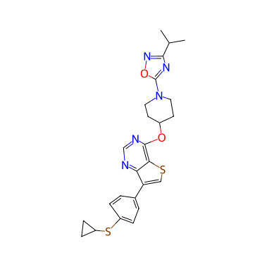 CC(C)c1noc(N2CCC(Oc3ncnc4c(-c5ccc(SC6CC6)cc5)csc34)CC2)n1